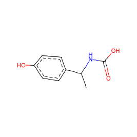 CC(NC(=O)O)c1ccc(O)cc1